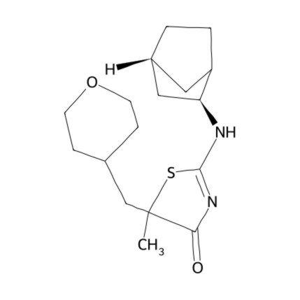 CC1(CC2CCOCC2)SC(N[C@H]2C[C@@H]3CCC2C3)=NC1=O